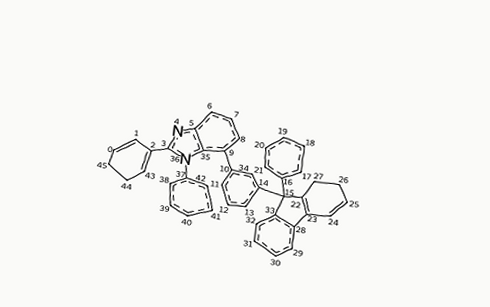 C1=CC(c2nc3cccc(-c4cccc(C5(c6ccccc6)C6=C(C=CCC6)c6ccccc65)c4)c3n2-c2ccccc2)=CCC1